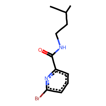 CC(C)CCNC(=O)c1cccc(Br)n1